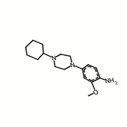 COc1cc(N2CCN(C3CCCCC3)CC2)ccc1N